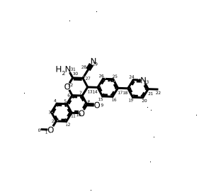 COc1ccc2c3c(c(=O)oc2c1)C(c1ccc(-c2ccc(C)nc2)cc1)C(C#N)=C(N)O3